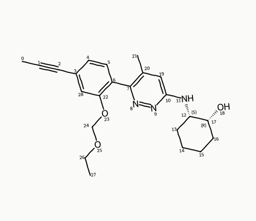 CC#Cc1ccc(-c2nnc(N[C@H]3CCCC[C@H]3O)cc2C)c(OCOCC)c1